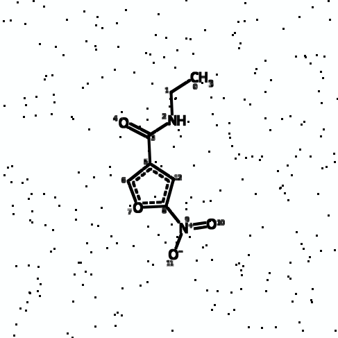 CCNC(=O)c1coc([N+](=O)[O-])c1